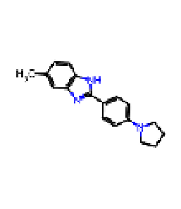 Cc1ccc2[nH]c(-c3ccc(N4CCCC4)cc3)nc2c1